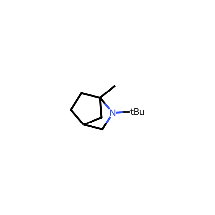 CC(C)(C)N1CC2CCC1(C)C2